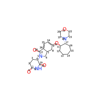 O=C1CCC(N2CC3CC(O[C@@H]4CCCCC[C@H]4N4CCOCC4)=CC=C3C2=O)C(=O)N1